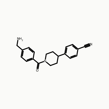 N#Cc1ccc(C2CCN(C(=O)c3c[c]c(CN)cc3)CC2)cc1